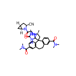 C[C@@H](CC1(c2nn(C)c(=O)[nH]2)c2ccc(C(=O)N(C)C)cc2CCc2cc(C(=O)N(C)C)ccc21)NCC(=O)N1[C@H](C#N)C[C@@H]2C[C@@H]21